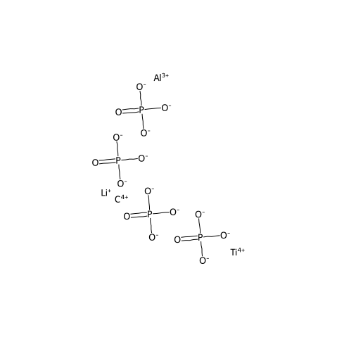 O=P([O-])([O-])[O-].O=P([O-])([O-])[O-].O=P([O-])([O-])[O-].O=P([O-])([O-])[O-].[Al+3].[C+4].[Li+].[Ti+4]